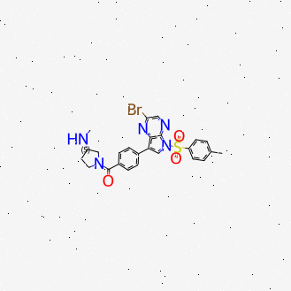 CN[C@H]1CCN(C(=O)c2ccc(-c3cn(S(=O)(=O)c4ccc(C)cc4)c4ncc(Br)nc34)cc2)C1